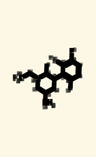 CC1C(c2c(F)ccc(F)c2F)CC(N)CN1CC(F)(F)F